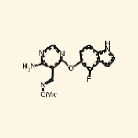 CON=Cc1c(N)ncnc1Oc1ccc2[nH]ccc2c1F